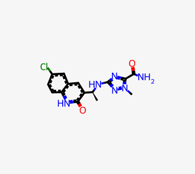 C[C@H](Nc1nc(C(N)=O)n(C)n1)c1cc2cc(Cl)ccc2[nH]c1=O